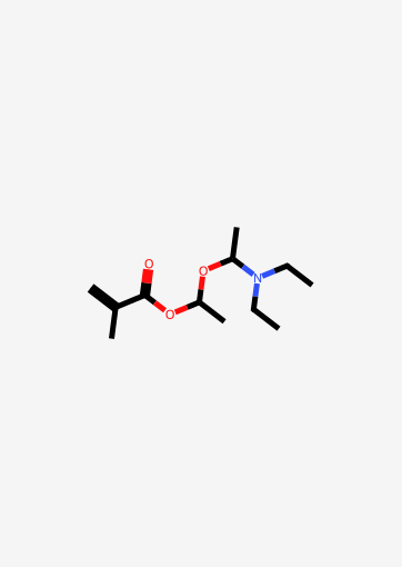 C=C(C)C(=O)OC(C)OC(C)N(CC)CC